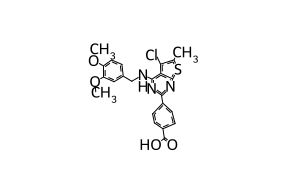 COc1ccc(CNc2nc(-c3ccc(C(=O)O)cc3)nc3sc(C)c(Cl)c23)cc1OC